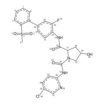 CS(=O)(=O)c1ccccc1-c1ccc(NC(=O)C2CC(O)CN2C(=O)Nc2ccc(Cl)cn2)c(F)c1